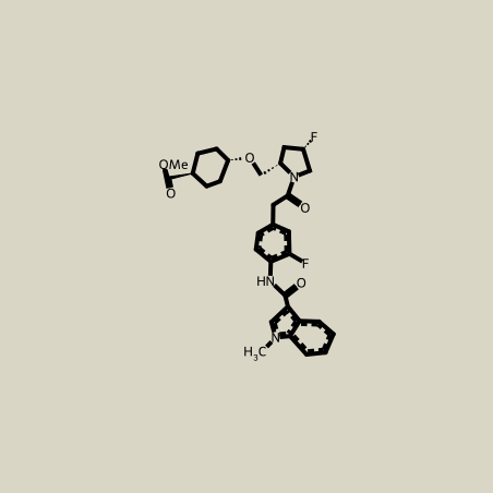 COC(=O)[C@H]1CC[C@H](OC[C@@H]2C[C@H](F)CN2C(=O)Cc2ccc(NC(=O)c3cn(C)c4ccccc34)c(F)c2)CC1